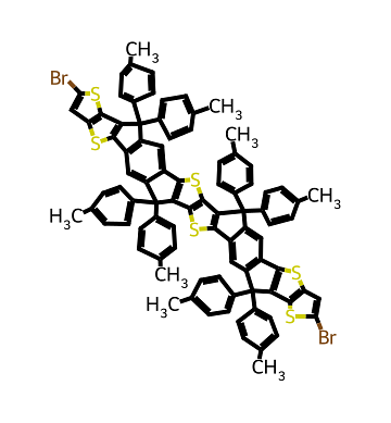 Cc1ccc(C2(c3ccc(C)cc3)c3cc4c(cc3-c3sc5cc(Br)sc5c32)C(c2ccc(C)cc2)(c2ccc(C)cc2)c2c-4sc3c4c(sc23)-c2cc3c(cc2C4(c2ccc(C)cc2)c2ccc(C)cc2)-c2sc4cc(Br)sc4c2C3(c2ccc(C)cc2)c2ccc(C)cc2)cc1